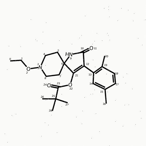 CCON1CCC2(CC1)NC(=O)C(c1cc(C)ccc1C)=C2OC(=O)C(C)(C)C